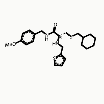 COc1ccc(CNC(=O)[C@H](CSCC2CCCCC2)NCc2cccs2)cc1